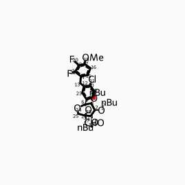 CCCCO[C@@H]1[C@@H](OCCCC)[C@@]2(c3ccc(Cl)c(Cc4ccc(OC)c(F)c4F)c3)OC[C@](C=O)(O2)[C@H]1OCCCC